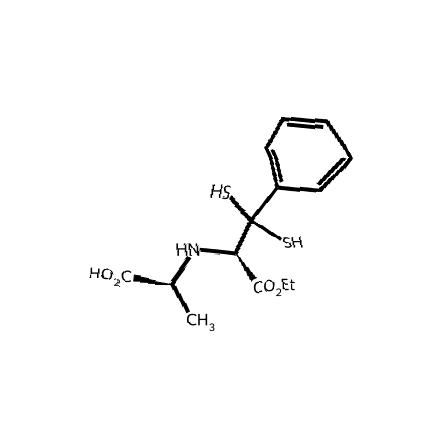 CCOC(=O)[C@@H](N[C@@H](C)C(=O)O)C(S)(S)c1ccccc1